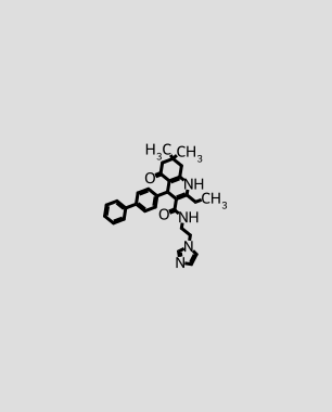 CCC1=C(C(=O)NCCn2ccnc2)C(c2ccc(-c3ccccc3)cc2)C2=C(CC(C)(C)CC2=O)N1